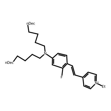 CCCCCCCCCCCCCCN(CCCCCCCCCCCCCC)c1ccc(/C=C/c2cc[n+](CC)cc2)c(F)c1